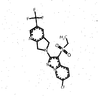 CCS(=O)(=O)c1c(N2Cc3cc(C(F)(F)F)cnc3C2)nn2cc(Cl)ccc12